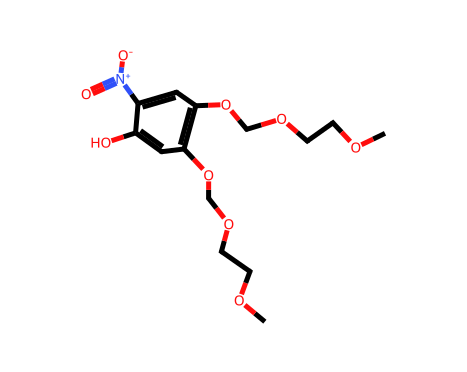 COCCOCOc1cc(O)c([N+](=O)[O-])cc1OCOCCOC